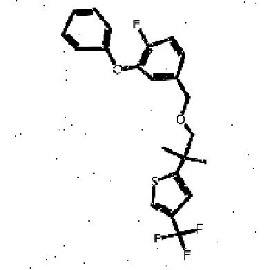 CC(C)(COCc1ccc(F)c(Oc2ccccc2)c1)c1cc(C(F)(F)F)cs1